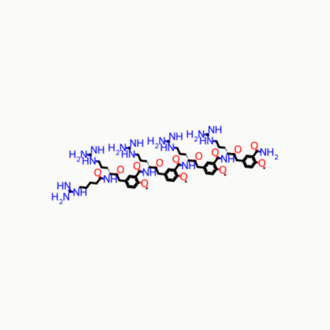 COc1ccc(CC(=O)[C@@H](CCCNC(=N)N)NC(=O)c2cc(CC(=O)[C@@H](CCCNC(=N)N)NC(=O)c3cc(CC(=O)[C@@H](CCCNC(=N)N)NC(=O)c4cc(CC(=O)[C@@H](CCCNC(=N)N)NC(=O)CCCCNC(=N)N)ccc4OC)ccc3OC)ccc2OC)cc1C(N)=O